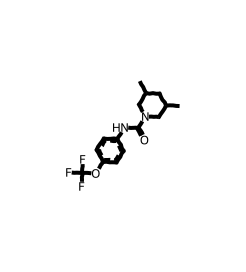 CC1CC(C)CN(C(=O)Nc2ccc(OC(F)(F)F)cc2)C1